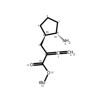 C=C=C(C[C@H]1CCC[C@@H]1N)C(=O)OC(C)(C)C